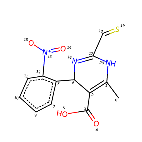 CC1=C(C(=O)O)C(c2ccccc2[N+](=O)[O-])N=C(C=S)N1